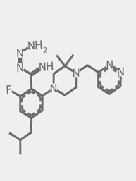 CC(C)Cc1cc(F)c(C(=N)/N=N\N)c(N2CCN(Cc3cccnn3)C(C)(C)C2)c1